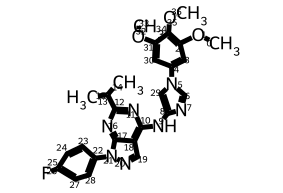 COc1cc(-n2cnc(Nc3nc(C(C)C)nc4c3cnn4-c3ccc(F)cc3)c2)cc(OC)c1OC